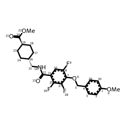 COc1ccc(COc2c(F)cc(C(=O)NC[C@H]3CC[C@H](C(=O)OC)CC3)c(F)c2F)cc1